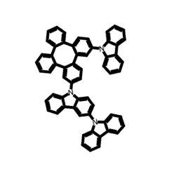 c1ccc2c(c1)-c1ccccc1-c1cc(-n3c4ccccc4c4cc(-n5c6ccccc6c6ccccc65)ccc43)ccc1-c1cc(-n3c4ccccc4c4ccccc43)ccc1-2